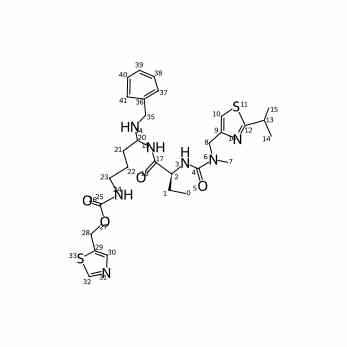 CC[C@H](NC(=O)N(C)Cc1csc(C(C)C)n1)C(=O)NC(CCCNC(=O)OCc1cncs1)NCc1ccccc1